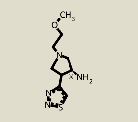 COCCN1CC(c2csnn2)[C@H](N)C1